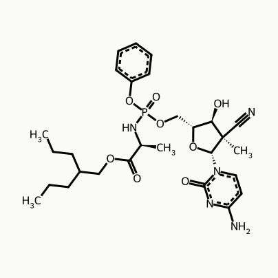 CCCC(CCC)COC(=O)[C@H](C)NP(=O)(OC[C@H]1O[C@@H](n2ccc(N)nc2=O)[C@](C)(C#N)[C@@H]1O)Oc1ccccc1